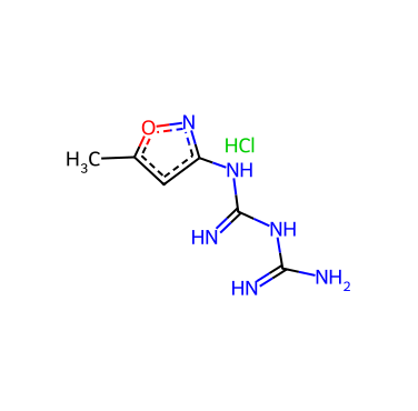 Cc1cc(NC(=N)NC(=N)N)no1.Cl